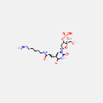 NCCCCCCNC(=O)/C=C/c1cn([C@H]2CC(OP(=O)(O)O)[C@@H](CO)O2)c(=O)[nH]c1=O